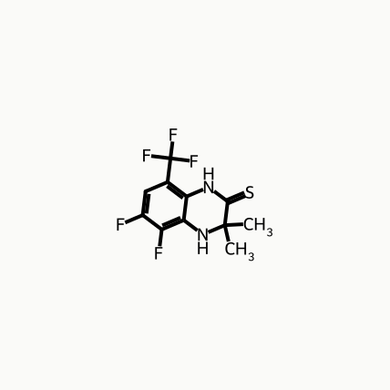 CC1(C)Nc2c(F)c(F)cc(C(F)(F)F)c2NC1=S